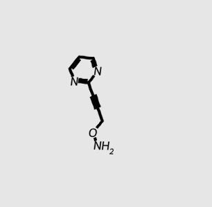 NOCC#Cc1ncccn1